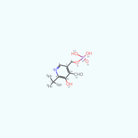 [2H]C([2H])([2H])c1ncc(COP(=O)(O)O)c(C=O)c1O